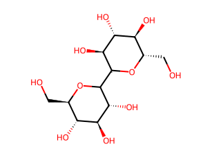 OC[C@@H]1O[C](C2O[C@H](CO)[C@@H](O)[C@H](O)[C@H]2O)[C@@H](O)[C@H](O)[C@H]1O